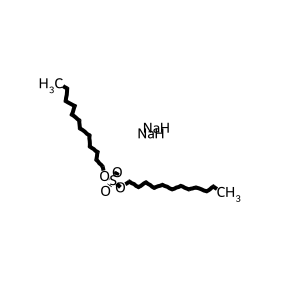 CCCCCCCCCCCCOS(=O)(=O)OCCCCCCCCCCCC.[NaH].[NaH]